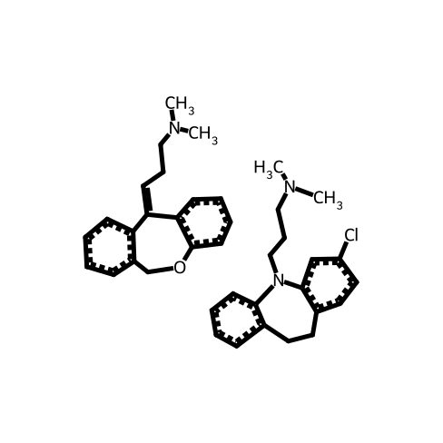 CN(C)CCC=C1c2ccccc2COc2ccccc21.CN(C)CCCN1c2ccccc2CCc2ccc(Cl)cc21